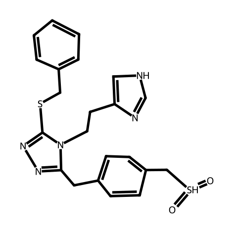 O=[SH](=O)Cc1ccc(Cc2nnc(SCc3ccccc3)n2CCc2c[nH]cn2)cc1